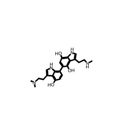 CNCCc1c[nH]c2c(O)cc(-c3ccc(O)c4c(CCN(C)C)c[nH]c34)c(O)c12